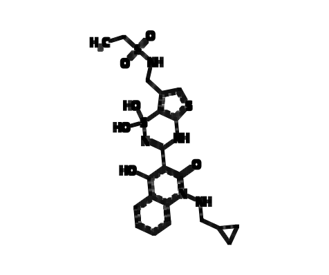 CCS(=O)(=O)NCc1csc2c1S(O)(O)N=C(c1c(O)c3ccccc3n(NCC3CC3)c1=O)N2